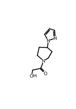 O=C(CO)N1CCC(n2c[c]cn2)CC1